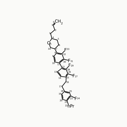 C=CCCC1CCC(c2ccc(-c3ccc(CCc4ccc(CCC)c(F)c4)c(F)c3F)c(F)c2F)CO1